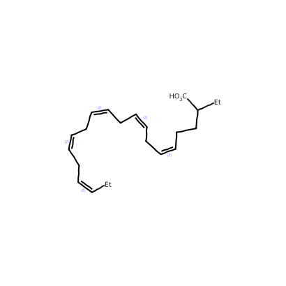 CC/C=C\C/C=C\C/C=C\C/C=C\C/C=C\CCC(CC)C(=O)O